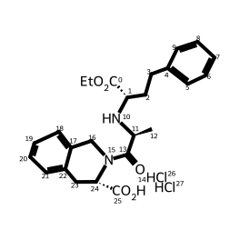 CCOC(=O)[C@H](CCc1ccccc1)N[C@@H](C)C(=O)N1Cc2ccccc2C[C@H]1C(=O)O.Cl.Cl